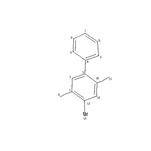 Cc1cc(-c2ccccc2)c(C)cc1Br